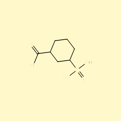 O=C(Cl)C1CCCC(P(=O)(O)O)C1